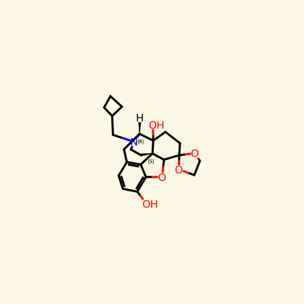 Oc1ccc2c3c1OC1C4(CCC5(O)[C@@H](C2)N(CC2CCC2)CC[C@]315)OCCO4